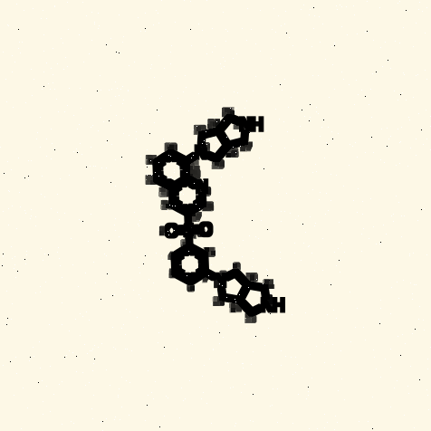 O=S(=O)(c1cccc(N2CC3CNCC3C2)c1)c1cnc2c(N3CC4CNCC4C3)cccc2c1